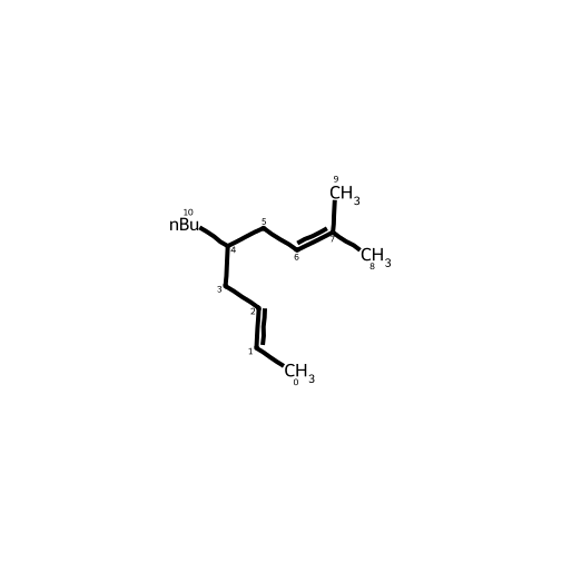 CC=CCC(CC=C(C)C)CCCC